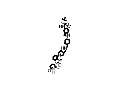 COc1cc2nn(C3CCC(CNCC4CCN(c5cccc6c5n(C)c(=O)n6C5CCC(=O)NC5=O)CC4)CC3)cc2cc1NC(=O)OC(C)(C)C